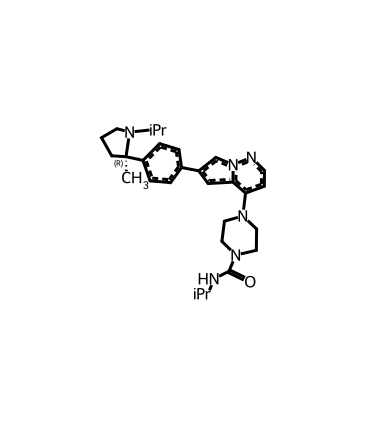 CC(C)NC(=O)N1CCN(c2ccnn3cc(-c4ccc([C@@]5(C)CCCN5C(C)C)cc4)cc23)CC1